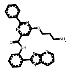 NCCCOc1cc(C(=O)Nc2ccccc2-c2nc3cccnc3s2)nc(-c2ccccc2)n1